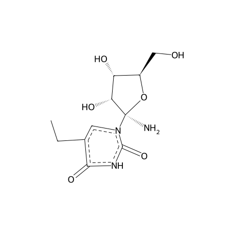 CCc1cn([C@]2(N)O[C@H](CO)[C@@H](O)[C@H]2O)c(=O)[nH]c1=O